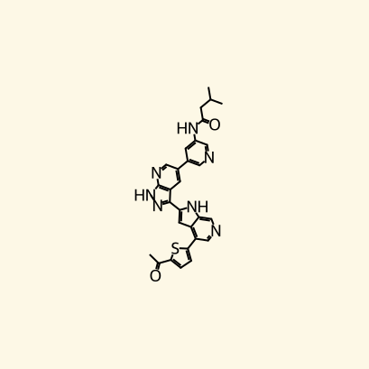 CC(=O)c1ccc(-c2cncc3[nH]c(-c4n[nH]c5ncc(-c6cncc(NC(=O)CC(C)C)c6)cc45)cc23)s1